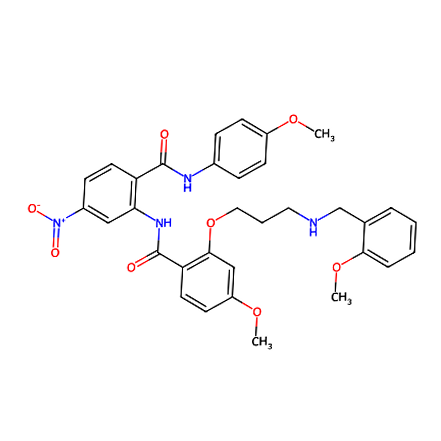 COc1ccc(NC(=O)c2ccc([N+](=O)[O-])cc2NC(=O)c2ccc(OC)cc2OCCCNCc2ccccc2OC)cc1